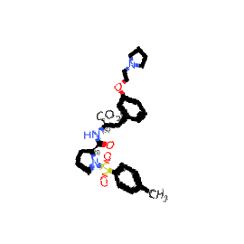 Cc1ccc(S(=O)(=O)N2CCC[C@H]2C(=O)N[C@@H](Cc2cccc(OCCN3CCCC3)c2)C(=O)O)cc1